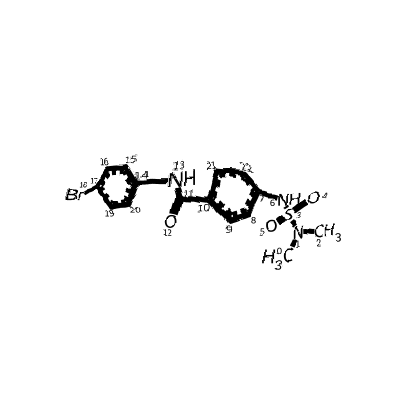 CN(C)S(=O)(=O)Nc1ccc(C(=O)Nc2ccc(Br)cc2)cc1